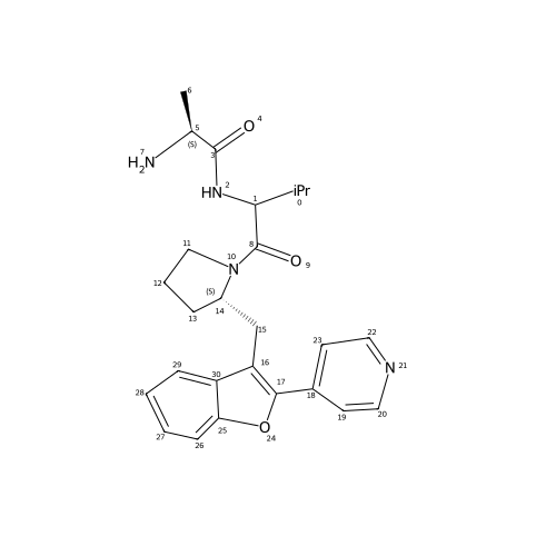 CC(C)C(NC(=O)[C@H](C)N)C(=O)N1CCC[C@H]1Cc1c(-c2ccncc2)oc2ccccc12